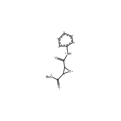 CC(C)COC(=O)C1OC1C(=O)Nc1ccccc1